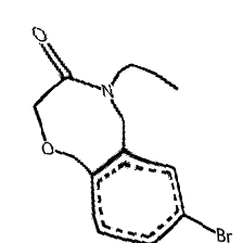 CCN1C(=O)COc2ccc(Br)cc21